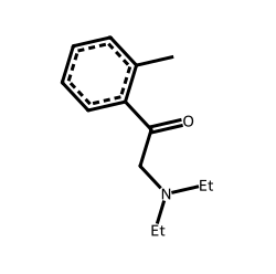 CCN(CC)CC(=O)c1ccccc1C